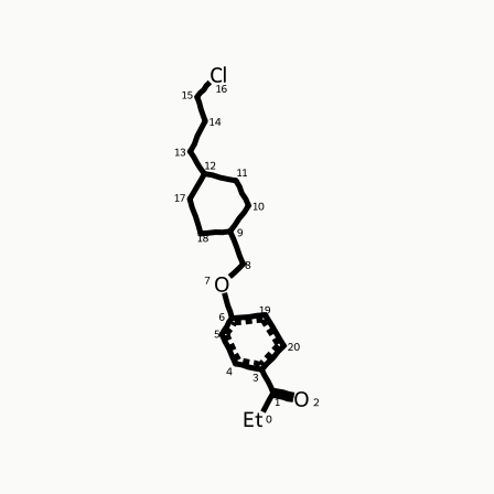 CCC(=O)c1ccc(OCC2CCC(CCCCl)CC2)cc1